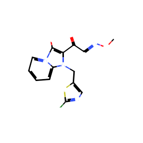 CO/N=C/C(=O)c1c(O)[n+]2ccccc2n1Cc1cnc(Cl)s1